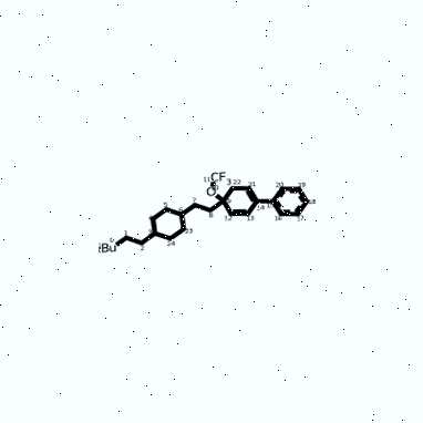 CCC(C)CCC1CCC(CCC2(OC(F)(F)F)C=CC(c3ccccc3)=CC2)CC1